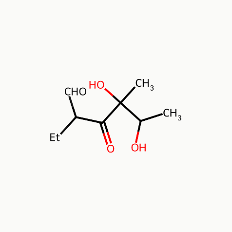 CCC(C=O)C(=O)C(C)(O)C(C)O